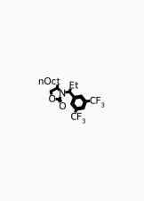 CCCCCCCCC1COC(=O)N1C(CC)c1cc(C(F)(F)F)cc(C(F)(F)F)c1